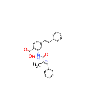 C/C(=C\c1ccccc1)C(=O)Nc1cc(C=Cc2ccccc2)ccc1C(=O)O